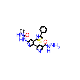 CCNC(=O)Nc1cc(-c2nc(-c3ccccc3)cs2)c(-c2cncc(C(=O)NN)c2)cn1